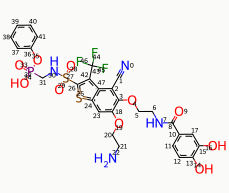 N#Cc1c(OCCNC(=O)c2ccc(O)c(O)c2)c(OCCN)cc2sc(S(=O)(=O)NCP(=O)(O)Oc3ccccc3)c(C(F)(F)F)c12